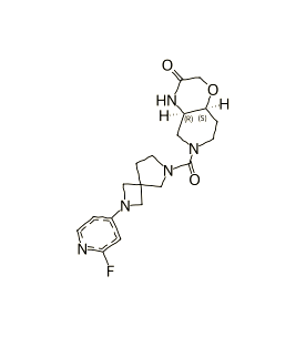 O=C1CO[C@H]2CCN(C(=O)N3CCC4(C3)CN(c3ccnc(F)c3)C4)C[C@H]2N1